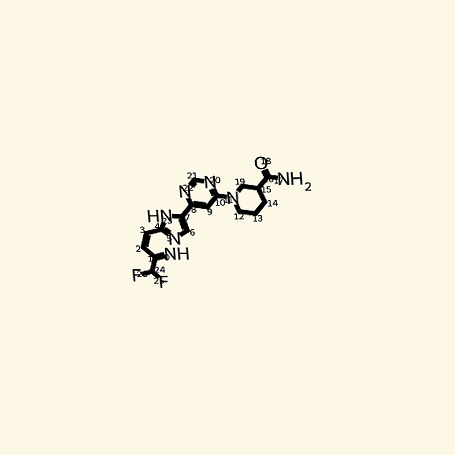 N=C(/C=C\c1ncc(-c2cc(N3CCCC(C(N)=O)C3)ncn2)[nH]1)C(F)F